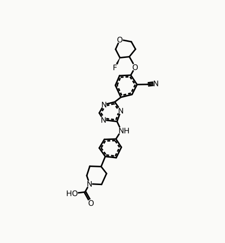 N#Cc1cc(-c2ncnc(Nc3ccc(C4CCN(C(=O)O)CC4)cc3)n2)ccc1OC1CCOC[C@@H]1F